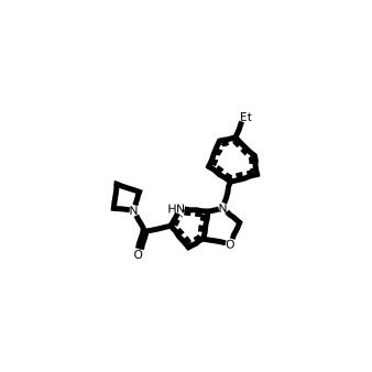 CCc1ccc(N2COc3cc(C(=O)N4CCC4)[nH]c32)cc1